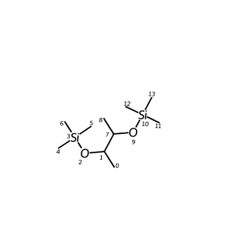 CC(O[Si](C)(C)C)C(C)O[Si](C)(C)C